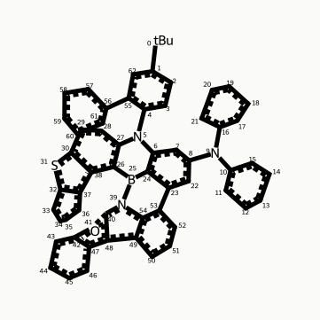 CC(C)(C)c1ccc(N2c3cc(N(c4ccccc4)c4ccccc4)cc4c3B(c3c2ccc2sc5ccccc5c32)n2c3oc5ccccc5c3c3cccc-4c32)c(-c2ccccc2)c1